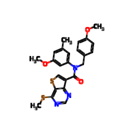 COc1ccc(CN(C(=O)c2csc3c(SC)ncnc23)c2cc(C)cc(OC)c2)cc1